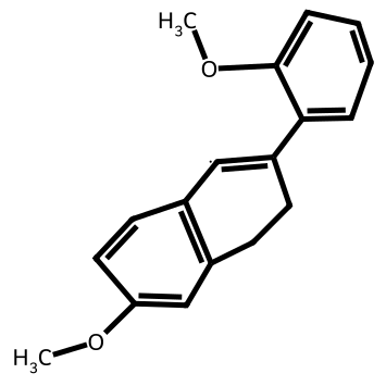 COc1ccc2c(c1)CCC(c1ccccc1OC)=[C]2